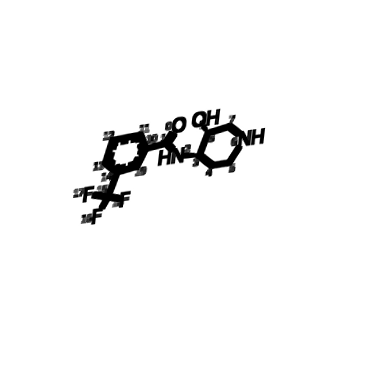 O=C(N[C@@H]1CCNC[C@H]1O)c1cccc(C(F)(F)F)c1